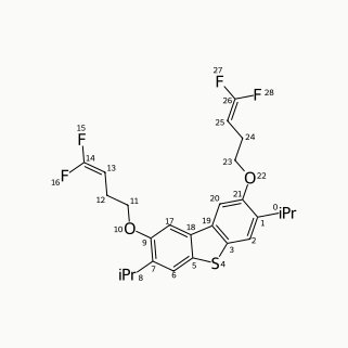 CC(C)c1cc2sc3cc(C(C)C)c(OCCC=C(F)F)cc3c2cc1OCCC=C(F)F